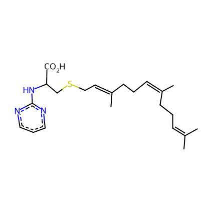 CC(C)=CCCC(C)=CCC/C(C)=C/CSCC(Nc1ncccn1)C(=O)O